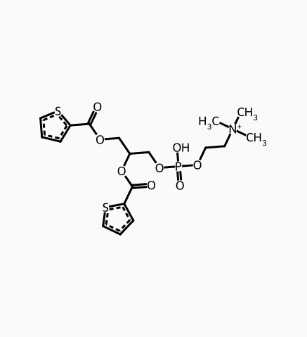 C[N+](C)(C)CCOP(=O)(O)OCC(COC(=O)c1cccs1)OC(=O)c1cccs1